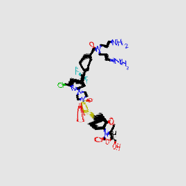 NCCCN(CCCN)C(=O)C1CCC(C(F)(F)c2cc(Cl)nc(N3CCN(S(=O)(=O)c4ccc5c(c4)OC[C@H]4[C@H](CO)OC(=O)N54)CC3)c2)CC1